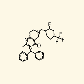 Cc1nc2c(c(=O)n1C(c1ccccc1)c1ccccc1)CN(CC1CCC(C(F)(F)F)CC1F)CC2